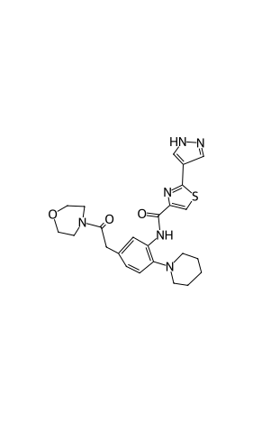 O=C(Nc1cc(CC(=O)N2CCOCC2)ccc1N1CCCCC1)c1csc(-c2cn[nH]c2)n1